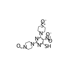 O=CN1CCN(c2nc(S)c([N+](=O)[O-])c(N3CC[S+]([O-])CC3)n2)CC1